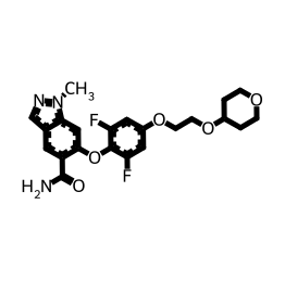 Cn1ncc2cc(C(N)=O)c(Oc3c(F)cc(OCCOC4CCOCC4)cc3F)cc21